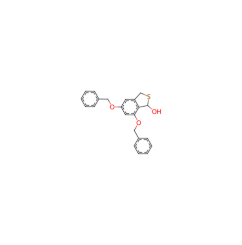 OC1SCc2cc(OCc3ccccc3)cc(OCc3ccccc3)c21